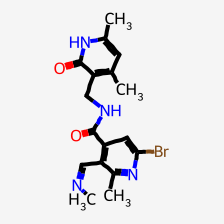 C/N=C\c1c(C(=O)NCc2c(C)cc(C)[nH]c2=O)cc(Br)nc1C